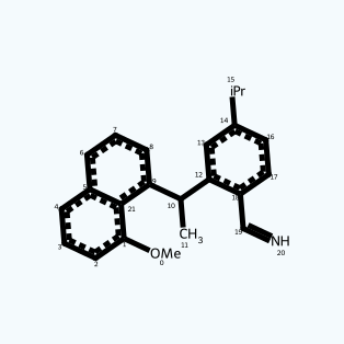 COc1cccc2cccc(C(C)c3cc(C(C)C)ccc3C=N)c12